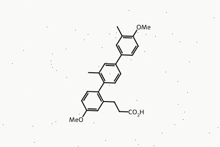 COc1ccc(-c2ccc(-c3ccc(OC)c(C)c3)cc2C)c(CCC(=O)O)c1